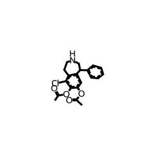 CC(=O)Oc1cc2c(c(Cl)c1OC(C)=O)CCNCC2c1ccccc1